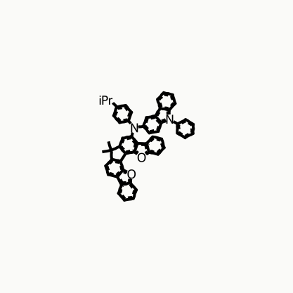 CC(C)c1ccc(N(c2ccc3c(c2)c2ccccc2n3-c2ccccc2)c2cc3c(c4oc5ccccc5c24)-c2c(ccc4c2oc2ccccc24)C3(C)C)cc1